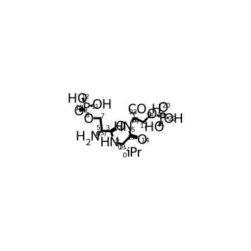 CC(C)[C@H](NC(=O)[C@@H](N)COP(=O)(O)O)C(=O)N[C@@H](COP(=O)(O)O)C(=O)O